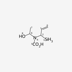 C=CC([SiH3])N(C(=O)O)C(C)O